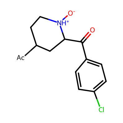 CC(=O)C1CC[NH+]([O-])C(C(=O)c2ccc(Cl)cc2)C1